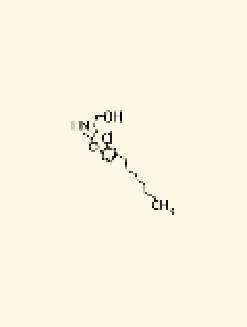 CCCCCCCCc1ccc(O[C@@H]2CN[C@@H](CO)C2)c(Cl)c1